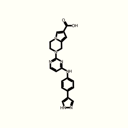 O=C(O)c1cc2n(c1)CCN(c1nccc(Nc3ccc(-c4cn[nH]c4)cc3)n1)C2